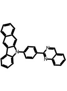 c1ccc2cc3c(cc2c1)c1ccccc1n3-c1ccc(-c2ncc3ccccc3n2)cc1